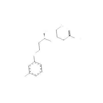 C[C@H](CCOc1cccc(F)c1)C[C@H](CN)CC(=O)O